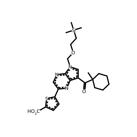 CC1(C(=O)c2cn(COCC[Si](C)(C)C)c3ncc(-c4ccc(C(=O)O)s4)nc23)CCCCC1